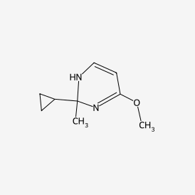 COC1=NC(C)(C2CC2)NC=C1